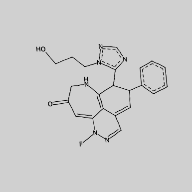 O=C1C=C2C3=C(NC1)C(c1ncnn1CCCO)C(c1ccccc1)C=C3C=NN2F